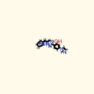 Oc1cc(-n2ccnc2)ccc1-c1ncc(C=C2CC3CCC(C2)N3)nn1